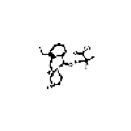 CCc1cccc2c1C[C@@H]1CNCCN1C2=O.O=C(O)C(F)(F)F